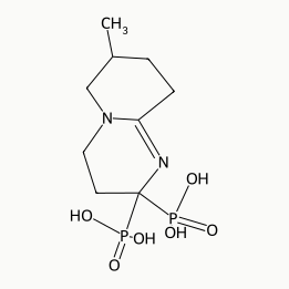 CC1CCC2=NC(P(=O)(O)O)(P(=O)(O)O)CCN2C1